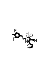 Cc1c(F)cc(CSc2nc(-c3cccs3)c(C#N)c(=O)[nH]2)cc1F